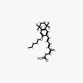 CCCCCOc1cc2c(cc1/C=C/C=C/C(C)=C\CC(=O)O)C(C)(C)CCC2(C)C